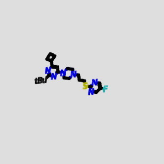 CC(C)(C)c1nc(C2CCC2)cc(N2CCN(CCCSc3ncc(F)cn3)CC2)n1